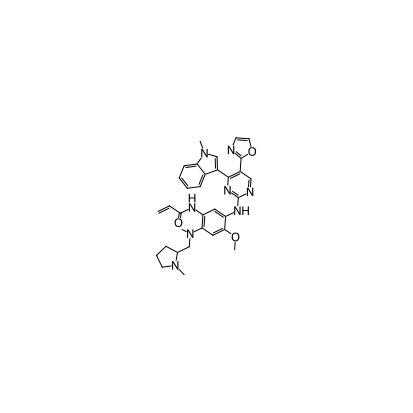 C=CC(=O)Nc1cc(Nc2ncc(-c3ncco3)c(-c3cn(C)c4ccccc34)n2)c(OC)cc1N(C)CC1CCCN1C